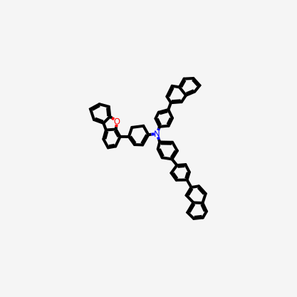 C1=C(c2cccc3c2oc2ccccc23)CCC(N(c2ccc(-c3ccc(-c4ccc5ccccc5c4)cc3)cc2)c2ccc(-c3ccc4ccccc4c3)cc2)=C1